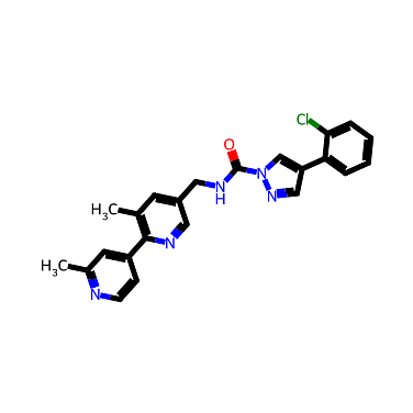 Cc1cc(-c2ncc(CNC(=O)n3cc(-c4ccccc4Cl)cn3)cc2C)ccn1